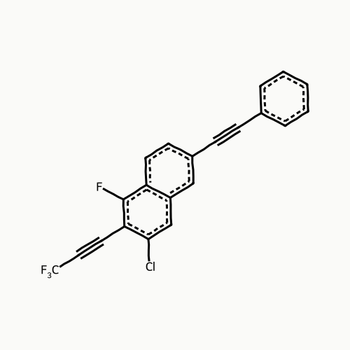 Fc1c(C#CC(F)(F)F)c(Cl)cc2cc(C#Cc3ccccc3)ccc12